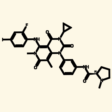 Cc1c(=O)n(C)c(Nc2ccc(I)cc2F)c2c(=O)n(C3CC3)c(=O)n(-c3cccc(NC(=O)[C@H]4CCCN4C)c3)c12